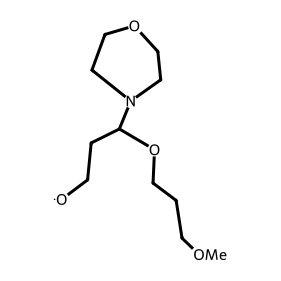 COCCCOC(CC[O])N1CCOCC1